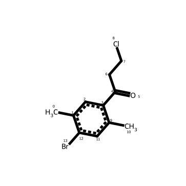 Cc1cc(C(=O)CCCl)c(C)cc1Br